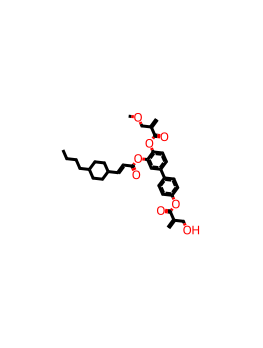 C=C(CO)C(=O)Oc1ccc(-c2ccc(OC(=O)C(=C)COC)c(OC(=O)/C=C/C3CCC(CCCC)CC3)c2)cc1